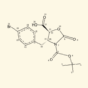 CC(C)(C)OC(=O)N1C(=O)O[C@H](C(=O)O)[C@H]1Cc1ccc(Br)cc1